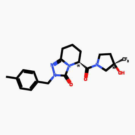 Cc1ccc(Cn2nc3n(c2=O)[C@@H](C(=O)N2CC[C@](O)(C(F)(F)F)C2)CCC3)cc1